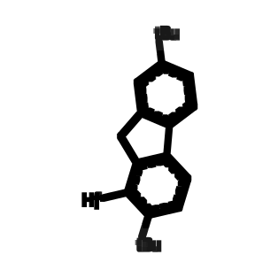 CC(C)(C)c1ccc2c(c1)Cc1c-2ccc(C(C)(C)C)[c]1[Hf]